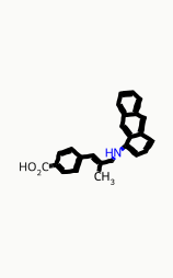 CC(=Cc1ccc(C(=O)O)cc1)CNc1cccc2cc3ccccc3cc12